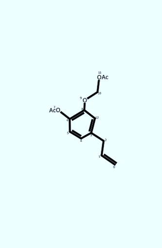 C=CCc1ccc(OC(C)=O)c(OCOC(C)=O)c1